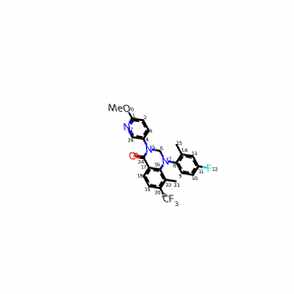 COc1ccc(N2CN(c3ccc(F)cc3C)c3c(ccc(C(F)(F)F)c3C)C2=O)cn1